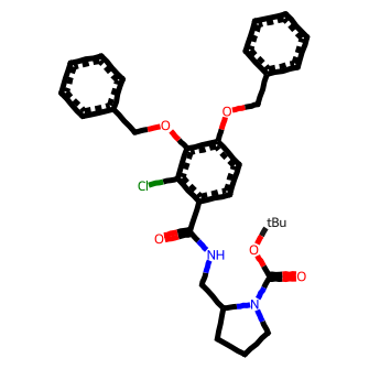 CC(C)(C)OC(=O)N1CCCC1CNC(=O)c1ccc(OCc2ccccc2)c(OCc2ccccc2)c1Cl